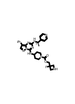 CC(C)c1cnn2c(NC3CCN(C(=O)OCC4(F)CNC4)CC3)nc(N[C@H](C)c3ccncc3)nc12